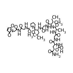 CC[C@H](C)[C@H](NC(=O)C(C)NC(=O)CNC(=O)C(CCC(N)=O)NC(=O)O)C(=O)NCC(=O)NC(CC(C)C)C(=O)N1CCC[C@H]1C(=O)NCC(=O)NC(=O)CN1C(=O)C=CC1=O